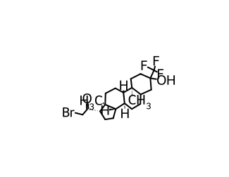 C[C@]12CC[C@H]3[C@@H](CCC4CC(O)(C(F)(F)F)CC[C@@]43C)[C@@H]1CC[C@@H]2C(=O)CBr